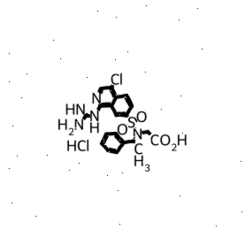 C[C@H](c1ccccc1)N(CC(=O)O)S(=O)(=O)c1ccc2c(Cl)cnc(NC(=N)N)c2c1.Cl